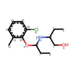 CCC(CO)NC(CC)Oc1c(C)cccc1Cl